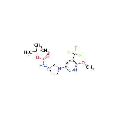 COc1ncc(N2CC[C@@H](NC(=O)OC(C)(C)C)C2)cc1C(F)(F)F